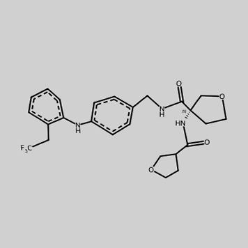 O=C(N[C@@]1(C(=O)NCc2ccc(Nc3ccccc3CC(F)(F)F)cc2)CCOC1)C1CCOC1